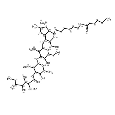 CC(=O)NC(C(O)OC1C(O)C(C)OC(OC2C(O)C(CO)OC(OC3C(CO)OC(OCCOCCNC(=O)CCCCN)C4C[C@@](C)(C(=O)O)OC43)C2NC(C)=O)C1NC(C)=O)C(O)C(O)C(C)CO